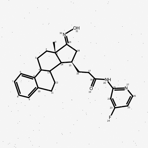 C[C@]12CCC3c4ccccc4CCC3C1[C@H](CCC(=O)Nc1cc(F)ccn1)C/C2=N\O